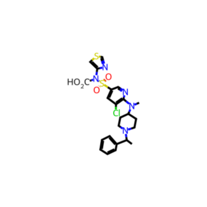 CC(c1ccccc1)N1CCC(N(C)c2ncc(S(=O)(=O)N(C(=O)O)c3cscn3)cc2Cl)CC1